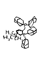 C[Si](C)(C)c1ccc(CP(C23CC4CC(CC(C4)C2)C3)C23CC4CC(CC(C4)C2)C3)c(P(C23CC4CC(CC(C4)C2)C3)C23CC4CC(CC(C4)C2)C3)c1